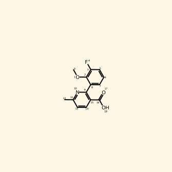 COc1c(F)cccc1-c1nc(C)ccc1C(=O)O